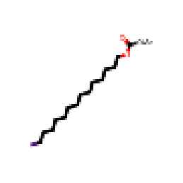 COC(=O)OCCCCCCCCCCCCCCI